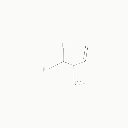 C=CC(NC)C(CC)CCC